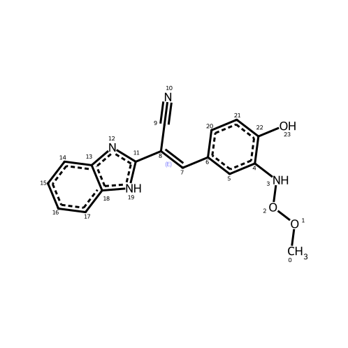 COONc1cc(/C=C(\C#N)c2nc3ccccc3[nH]2)ccc1O